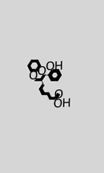 O=C(O)CC/C=C\C[C@@H]1COC2(CCCCC2)O[C@@H]1c1ccccc1O